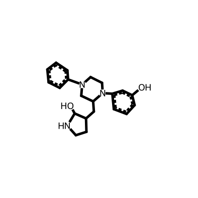 Oc1cccc(N2CCN(c3ccccc3)CC2CC2CCNC2O)c1